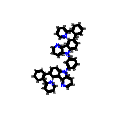 C1=CC(c2ccc3c(c2)c2ncccc2n3-c2cccc(-n3c4ccc(-c5ccccc5-c5ccccn5)cc4c4ncccc43)c2)=C(c2ccccn2)CC1